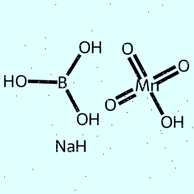 OB(O)O.[NaH].[O]=[Mn](=[O])(=[O])[OH]